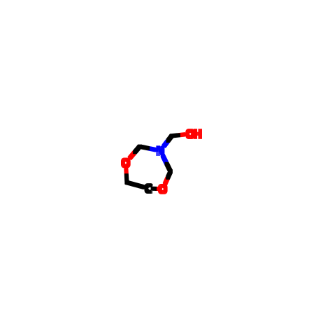 OCN1COCCOC1